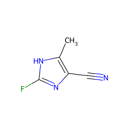 Cc1[nH]c(F)nc1C#N